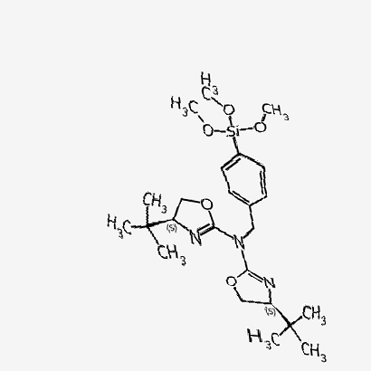 CO[Si](OC)(OC)c1ccc(CN(C2=N[C@@H](C(C)(C)C)CO2)C2=N[C@@H](C(C)(C)C)CO2)cc1